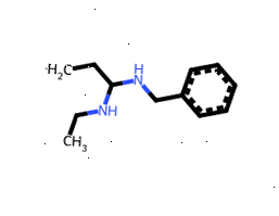 [CH2]CC(NCC)NCc1ccccc1